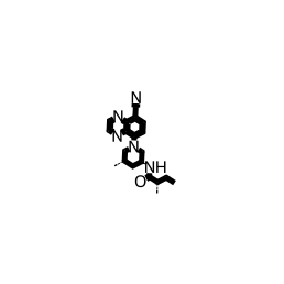 CC[C@H](C)C(=O)N[C@@H]1C[C@H](C)CN(c2ccc(C#N)c3nccnc23)C1